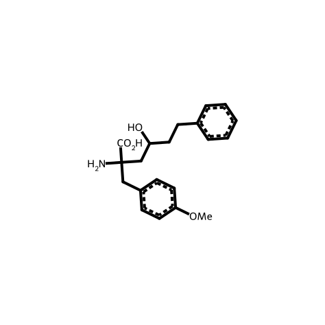 COc1ccc(CC(N)(CC(O)CCc2ccccc2)C(=O)O)cc1